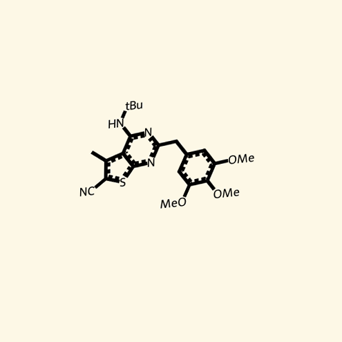 COc1cc(Cc2nc(NC(C)(C)C)c3c(C)c(C#N)sc3n2)cc(OC)c1OC